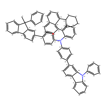 CC1(c2ccccc2)c2ccccc2-c2ccc(-c3ccc(N(c4ccc(-c5ccc6c7ccccc7n(-c7ccccc7)c6c5)cc4)c4ccccc4-c4cccc5cccc(C6CCCCC6)c45)cc3)cc21